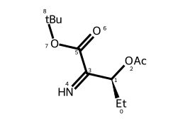 CC[C@H](OC(C)=O)C(=N)C(=O)OC(C)(C)C